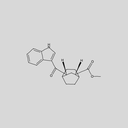 COC(=O)[C@H]1C[C@@H](C(=O)c2c[nH]c3ccccc23)C2CCC1CC2